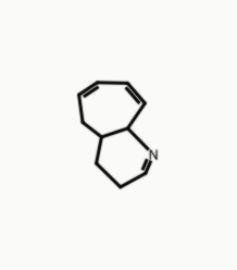 C1=CCC2CCC=NC2C=C1